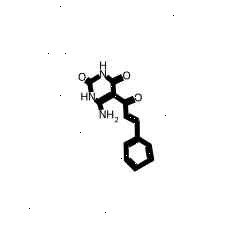 Nc1[nH]c(=O)[nH]c(=O)c1C(=O)/C=C/c1ccccc1